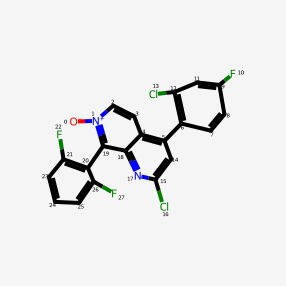 [O-][n+]1ccc2c(-c3ccc(F)cc3Cl)cc(Cl)nc2c1-c1c(F)cccc1F